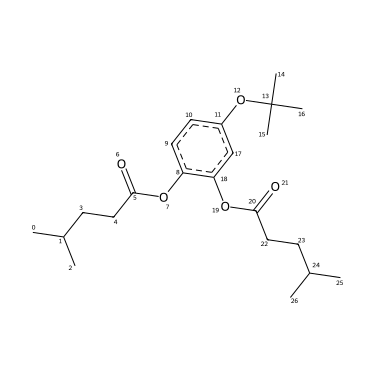 CC(C)CCC(=O)Oc1ccc(OC(C)(C)C)cc1OC(=O)CCC(C)C